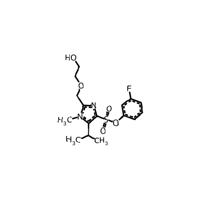 CC(C)c1c(S(=O)(=O)Oc2cccc(F)c2)nc(COCCO)n1C